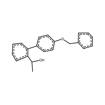 CC(O)c1ccccc1-c1ccc(OCc2ccccc2)cc1